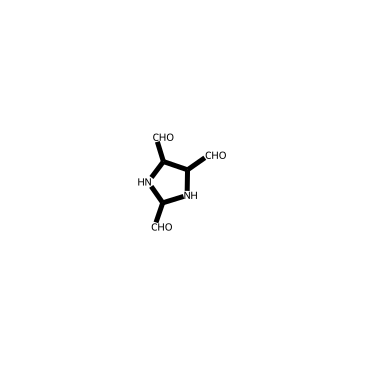 O=CC1NC(C=O)C(C=O)N1